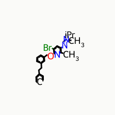 Cc1nc(OCc2cccc(CCc3ccccc3)c2)c(Br)cc1/N=C/N(C)C(C)C